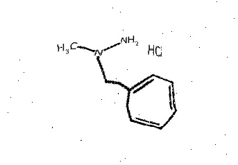 CN(N)Cc1ccccc1.Cl